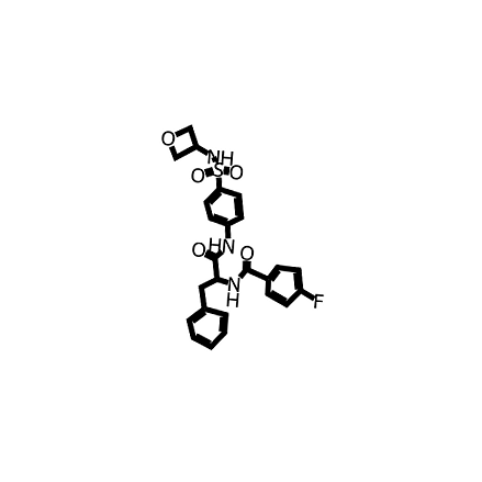 O=C(NC(Cc1ccccc1)C(=O)Nc1ccc(S(=O)(=O)NC2COC2)cc1)c1ccc(F)cc1